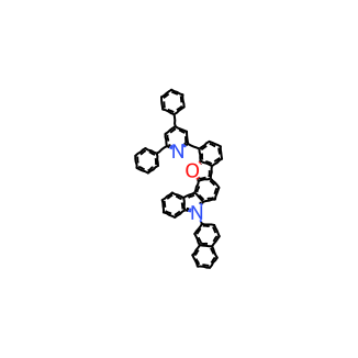 c1ccc(-c2cc(-c3ccccc3)nc(-c3cccc4c3oc3c4ccc4c3c3ccccc3n4-c3ccc4ccccc4c3)c2)cc1